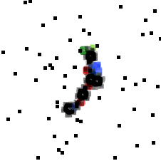 O=C(NCc1ccc(F)c(Cl)c1)Nc1ccc(OCc2ccc(OCCN3CCCCC3)cc2)c2ccccc12